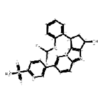 CS(=O)(=O)c1ccc(-c2ccc3nc4c(n3c2)C(c2ccccc2OC(F)F)CC4O)cn1